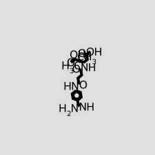 CC(C)(C(=O)O)C(CC(=O)O)NC(=O)CCC(=O)Nc1ccc(C(=N)N)cc1